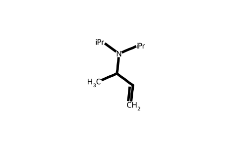 C=CC(C)N(C(C)C)C(C)C